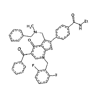 CCNC(=O)c1ccc(-c2sc3c(c2CN(C)Cc2ccccc2)c(=O)c(C(=O)c2ccccc2)cn3Cc2c(F)cccc2F)cc1